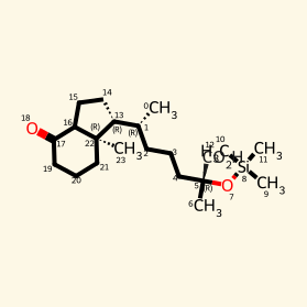 C[C@H](CCC[C@@](C)(O[Si](C)(C)C)C(=O)O)[C@H]1CCC2C(=O)CCC[C@@]21C